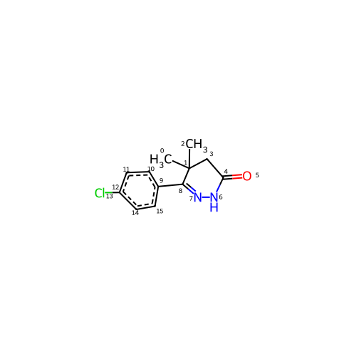 CC1(C)CC(=O)NN=C1c1ccc(Cl)cc1